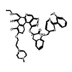 CCN/C=C(\C=N)c1ncc2snc(O[C@H](Cc3ccccc3OCc3ccnc(-c4ccccc4OC)n3)C(=O)O)c2c1C1=C(C)C(Cl)=C(OCCN2CCN(C)CC2)CC1